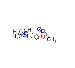 CCCCc1cc2ccccn2c1C(=O)c1ccc(CCCN2C[C@@H](C)N(C)[C@@H](C)C2)cc1